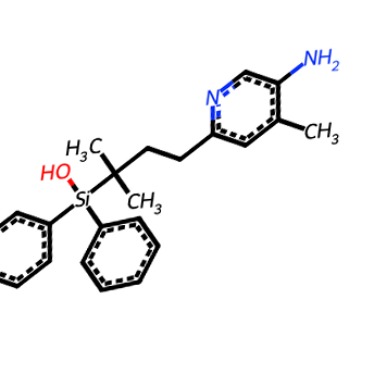 Cc1cc(CCC(C)(C)[Si](O)(c2ccccc2)c2ccccc2)ncc1N